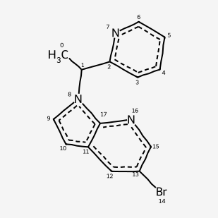 CC(c1ccccn1)n1ccc2cc(Br)cnc21